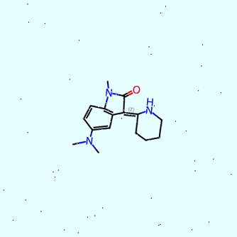 CN(C)c1ccc2c(c1)/C(=C1\CCCCN1)C(=O)N2C